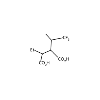 CCC(C(=O)O)C(C(=O)O)C(C)C(F)(F)F